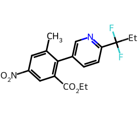 CCOC(=O)c1cc([N+](=O)[O-])cc(C)c1-c1ccc(C(F)(F)CC)nc1